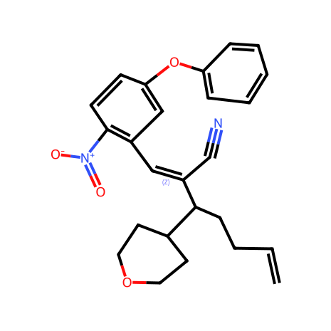 C=CCCC(/C(C#N)=C/c1cc(Oc2ccccc2)ccc1[N+](=O)[O-])C1CCOCC1